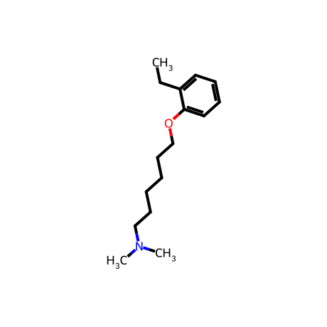 CCc1ccccc1OCCCCCCN(C)C